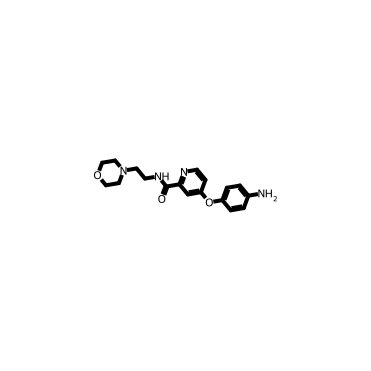 Nc1ccc(Oc2ccnc(C(=O)NCCN3CCOCC3)c2)cc1